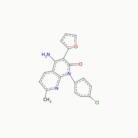 Cc1ccc2c(N)c(-c3ccco3)c(=O)n(-c3ccc(Cl)cc3)c2n1